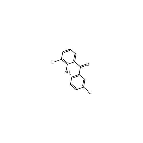 Nc1c(Cl)cccc1C(=O)c1cccc(Cl)c1